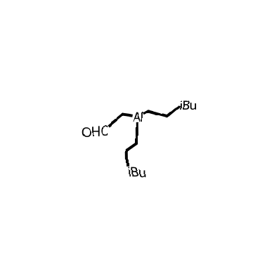 CCC(C)C[CH2][Al]([CH2]C=O)[CH2]CC(C)CC